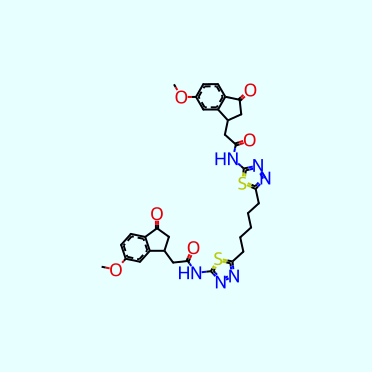 COc1ccc2c(c1)C(CC(=O)Nc1nnc(CCCCCc3nnc(NC(=O)CC4CC(=O)c5ccc(OC)cc54)s3)s1)CC2=O